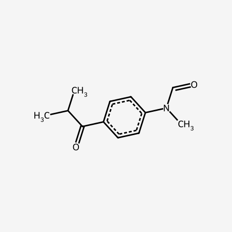 CC(C)C(=O)c1ccc(N(C)C=O)cc1